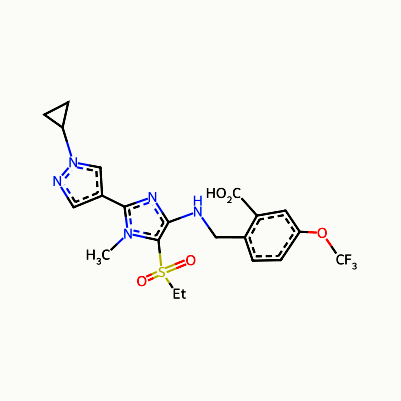 CCS(=O)(=O)c1c(NCc2ccc(OC(F)(F)F)cc2C(=O)O)nc(-c2cnn(C3CC3)c2)n1C